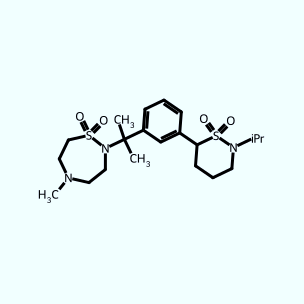 CC(C)N1CCCC(c2cccc(C(C)(C)N3CCN(C)CCS3(=O)=O)c2)S1(=O)=O